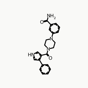 NC(=O)c1cccc(N2CCN(C(=O)c3c[nH]cc3-c3ccccc3)CC2)c1